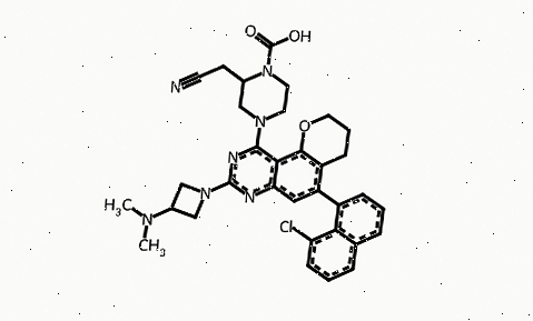 CN(C)C1CN(c2nc(N3CCN(C(=O)O)C(CC#N)C3)c3c4c(c(-c5cccc6cccc(Cl)c56)cc3n2)CCCO4)C1